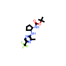 Cc1nc(C(F)(F)F)cnc1N[C@H]1CCC[C@@H]1NC(=O)OC(C)(C)C